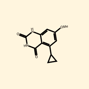 COc1cc(C2CC2)c2c(=O)[nH]c(=O)[nH]c2c1